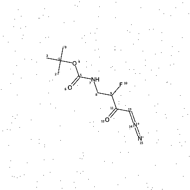 CC(C)(C)OC(=O)NCC(F)C(=O)C=[N+]=[N-]